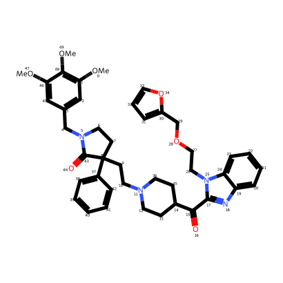 COc1cc(CN2CCC(CCN3CCC(C(=O)c4nc5ccccc5n4CCOCc4ccco4)CC3)(c3ccccc3)C2=O)cc(OC)c1OC